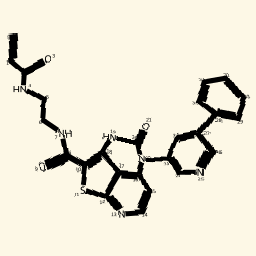 C=CC(=O)NCCNC(=O)c1sc2nccc3c2c1NC(=O)N3c1cncc(-c2ccccc2)c1